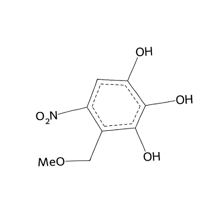 COCc1c([N+](=O)[O-])cc(O)c(O)c1O